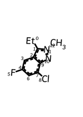 CCc1c2cc(F)cc(Cl)c2nn1C